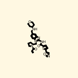 C=CC(=O)N1CCCC1Cn1c(NC(=O)c2ccc(-c3cnco3)s2)nc2cc(CNC3CCOCC3)ccc21